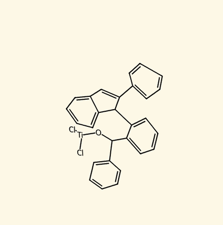 [Cl][Ti]([Cl])[O]C(c1ccccc1)c1ccccc1C1C(c2ccccc2)=Cc2ccccc21